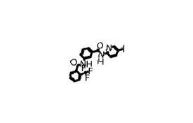 O=C(Nc1ccc(I)cn1)c1cccc(NC(=O)c2ccccc2C(F)(F)F)c1